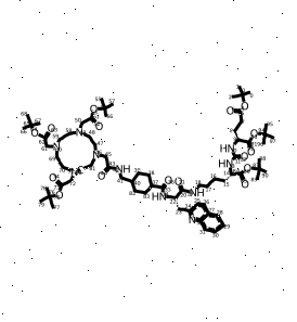 CC(C)(C)OC(=O)CC[C@H](NC(=O)N[C@@H](CCCCNC(=O)[C@H](Cc1ccc2ccccc2n1)NC(=O)C1CCC(CNC(=O)CN2CCN(CC(=O)OC(C)(C)C)CCN(CC(=O)OC(C)(C)C)CCN(CC(=O)OC(C)(C)C)CC2)CC1)C(=O)OC(C)(C)C)C(=O)OC(C)(C)C